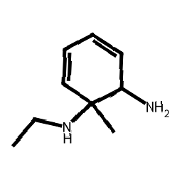 CCNC1(C)C=CC=CC1N